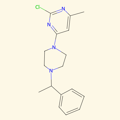 Cc1cc(N2CCN(C(C)c3ccccc3)CC2)nc(Cl)n1